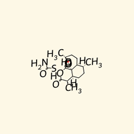 C[C@@H]1CC[C@H]2[C@@H](C)C(=O)O[C@@H]3O[C@]4(C)CC[C@@H]1[C@]32OO4.NC(=O)S